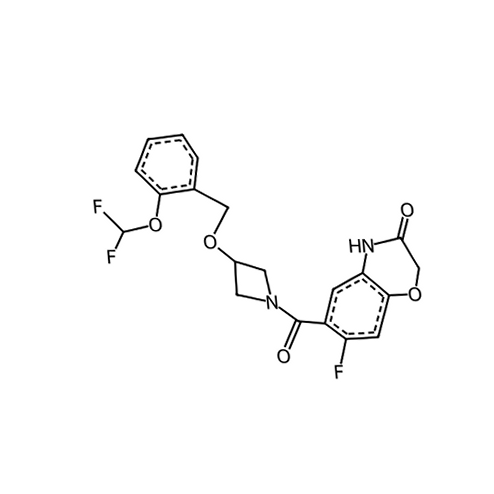 O=C1COc2cc(F)c(C(=O)N3CC(OCc4ccccc4OC(F)F)C3)cc2N1